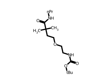 CCCNC(=O)C(C)(C)CCOCCNC(=O)OC(C)(C)C